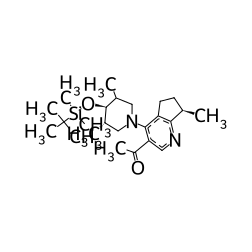 CC(=O)c1cnc2c(c1N1CC(C)[C@H](O[Si](C)(C)C(C)(C)C)[C@@H](C)C1)CC[C@H]2C